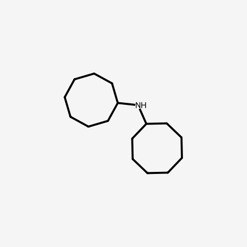 C1CCCC(NC2CCCCCCC2)CCC1